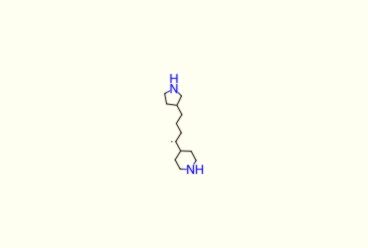 [CH](CCCC1CCNC1)C1CCNCC1